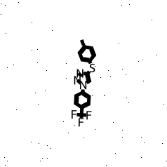 Cc1ccc(Sc2cn(-c3ccc(C(F)(F)F)cc3)nn2)cc1